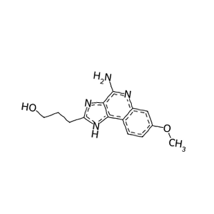 COc1ccc2c(c1)nc(N)c1nc(CCCO)[nH]c12